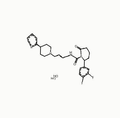 Cl.Cl.O=C1CCCC(c2ccc(F)c(F)c2)N1C(=O)NCCCN1CCC(c2ccccn2)CC1